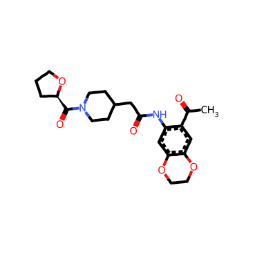 CC(=O)c1cc2c(cc1NC(=O)CC1CCN(C(=O)[C@H]3CCCO3)CC1)OCCO2